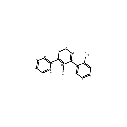 N#Cc1ccccc1C1=C[CH]CC(c2ccccn2)=C1F